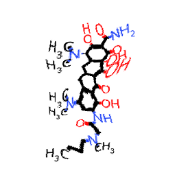 CCCCN(C)CC(=O)Nc1cc(N(C)C)c2c(c1O)C(=O)C1=C(O)[C@]3(O)C(=O)C(C(N)=O)=C(O)[C@@H](N(C)C)C3CC1C2